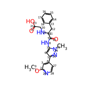 COc1cc(-c2cc(NC(=O)[C@H](Cc3ccccc3)NCC(=O)O)n(C)n2)ccn1